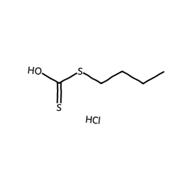 CCCCSC(O)=S.Cl